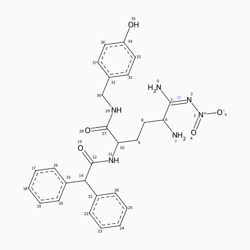 N/C(=N/[N+](=O)[O-])C(N)CCC(NC(=O)C(c1ccccc1)c1ccccc1)C(=O)NCc1ccc(O)cc1